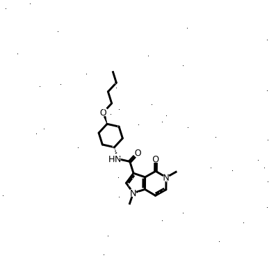 CCCCO[C@H]1CC[C@H](NC(=O)c2cn(C)c3ccn(C)c(=O)c23)CC1